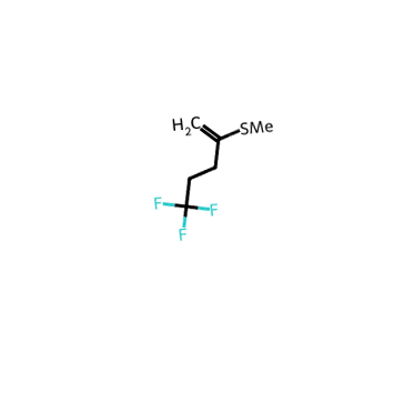 C=C(CCC(F)(F)F)SC